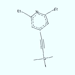 CCc1cc(C#C[Si](C)(C)C)cc(CC)n1